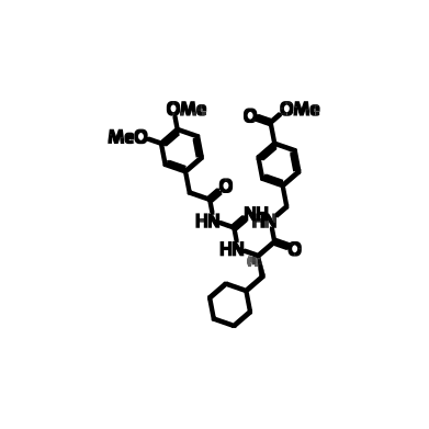 COC(=O)c1ccc(CNC(=O)[C@@H](CC2CCCCC2)NC(=N)NC(=O)Cc2ccc(OC)c(OC)c2)cc1